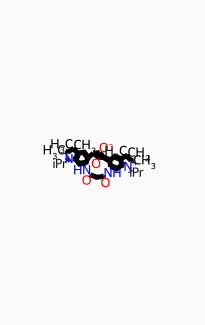 CC(C)N1c2cc3c(cc2C(C)(C)C1C)C1=C([O-])/C(=c2\cc4c(cc2NC(=O)CC(=O)N3)=[N+](C(C)C)C(C)C4(C)C)C1=O